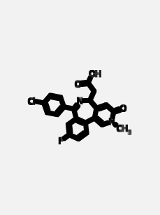 Cn1cc2c(cc1=O)C(CC(=O)O)N=C(c1ccc(Cl)cc1)c1cc(F)ccc1-2